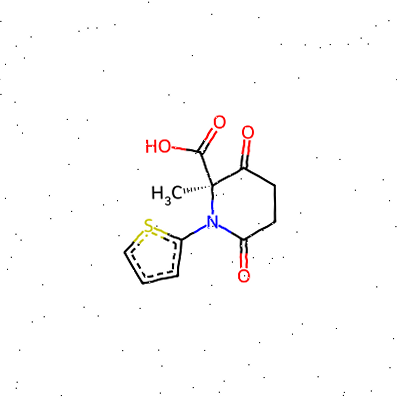 C[C@]1(C(=O)O)C(=O)CCC(=O)N1c1cccs1